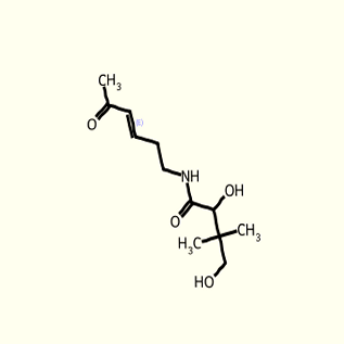 CC(=O)/C=C/CCNC(=O)C(O)C(C)(C)CO